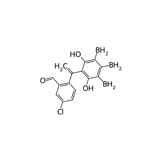 Bc1c(B)c(O)c(C(=C)c2ccc(Cl)cc2C=O)c(O)c1B